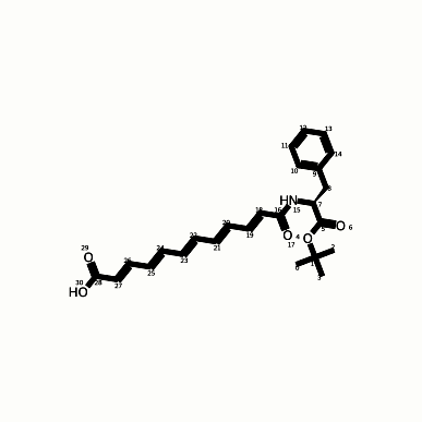 CC(C)(C)OC(=O)[C@H](Cc1ccccc1)NC(=O)/C=C/C=C/C=C/C=C/C=C/C(=O)O